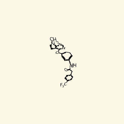 Cn1ccc2c(OC3=CCC=C(NC(=O)Cc4ccc(C(F)(F)F)cc4)C=C3)ncnc21